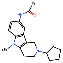 CCCn1c2c(c3cc(NC(=O)CC)ccc31)CN(C1CCCC1)CC2